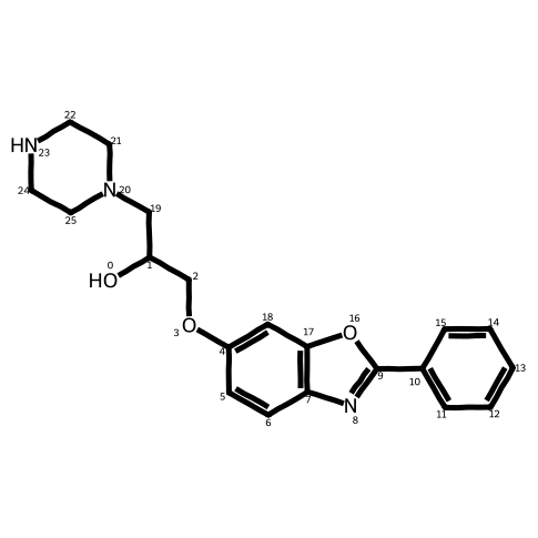 OC(COc1ccc2nc(-c3ccccc3)oc2c1)CN1CCNCC1